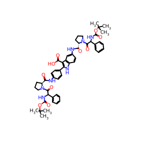 CC(C)(C)OC(=O)NC(C(=O)N1CCC[C@H]1C(=O)Nc1ccc(-c2[nH]c3ccc(NC(=O)[C@@H]4CCCN4C(=O)C(NC(=O)OC(C)(C)C)c4ccccc4)cc3c2C(=O)O)cc1)c1ccccc1